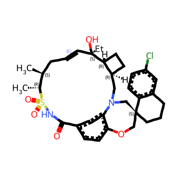 CC[C@@]1(O)/C=C/C[C@H](C)[C@@H](C)S(=O)(=O)NC(=O)c2ccc3c(c2)N(C[C@@H]2CC[C@H]21)C[C@@]1(CCCc2cc(Cl)ccc21)CO3